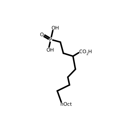 CCCCCCCCCCCCC(CCP(=O)(O)O)C(=O)O